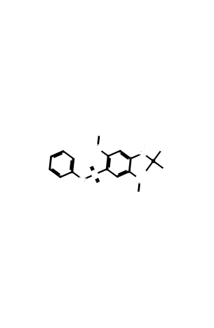 COc1cc(S(=O)(=O)Nc2ccccc2)c(OC)cc1NC(C)(C)C